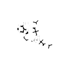 CC(C)OC(=O)C(C)(C)CO[P@](=O)(CO[C@H](C)Cn1cnc2c(N)ncnc21)NC(C)(C)C(=O)OC(C)C